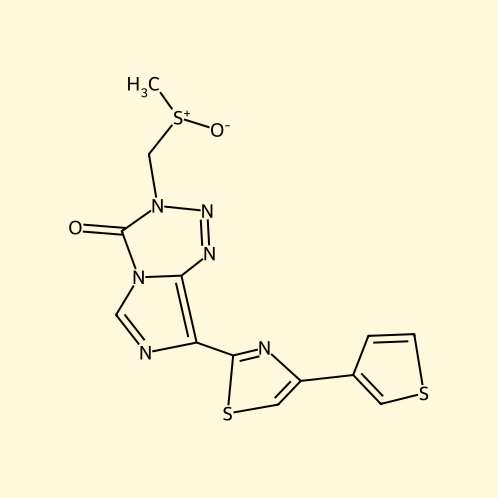 C[S+]([O-])Cn1nnc2c(-c3nc(-c4ccsc4)cs3)ncn2c1=O